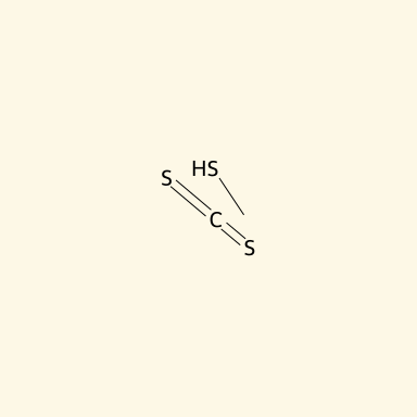 CS.S=C=S